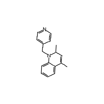 CC1=CC(C)N(Cc2ccncc2)c2ccccc21